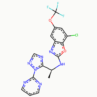 C[C@H](Nc1nc2cc(OC(F)(F)F)cc(Cl)c2o1)c1ncnn1-c1ncccn1